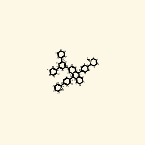 CN1CC=CCC1C1C=CC(c2c3c(c(-c4ccc(-c5ccccn5)cc4)c4cc(-c5cc(C6=CCCC=C6)cc(-c6ccccc6)c5)ccc24)=CCCC=3)=CC1